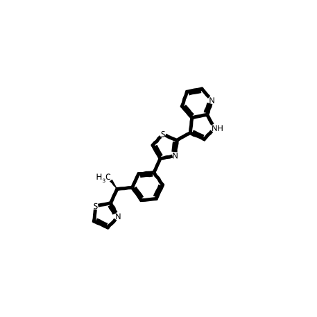 C[C@@H](c1cccc(-c2csc(-c3c[nH]c4ncccc34)n2)c1)c1nccs1